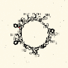 CCCC[C@H]1C(=O)N(C)[C@@H](CCCC)C(=O)N[C@@H](CCC(=O)O)C(=O)N[C@H](C(=O)NCC(N)=O)CSCC(=O)N[C@@H](Cc2ccc(O)cc2)C(=O)N(C)[C@@H](C)C(=O)N[C@@H](CC(N)=O)C(=O)N2CCC[C@H]2C(=O)N[C@@H](Cc2c[nH]cn2)C(=O)N[C@@H](CCC(N)=O)C(=O)N2C[C@H](O)C[C@H]2C(=O)N[C@@H](Cc2c[nH]c3ccccc23)C(=O)N[C@@H](CCN)C(=O)N[C@@H](Cc2c[nH]c3ccccc23)C(=O)N1C